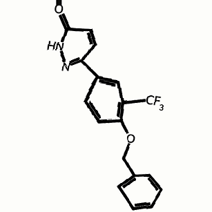 O=c1ccc(-c2ccc(OCc3ccccc3)c(C(F)(F)F)c2)n[nH]1